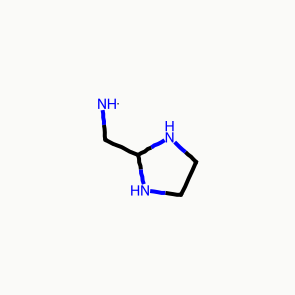 [NH]CC1NCCN1